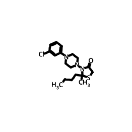 CCCCC1(C)SCC(=O)N1N1CCN(c2cccc(Cl)c2)CC1